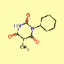 CC1C(=O)NC(=O)N(C2CCCCC2)C1=O